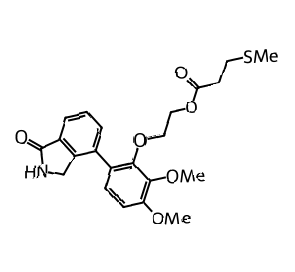 COc1ccc(-c2cccc3c2CNC3=O)c(OCCOC(=O)CCSC)c1OC